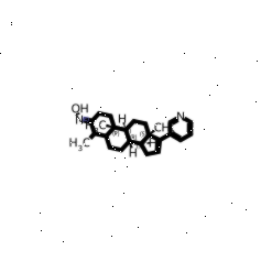 CC1/C(=N/O)CC[C@@]2(C)C1CC[C@@H]1[C@@H]2CC[C@]2(C)C(c3cccnc3)=CC[C@@H]12